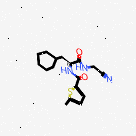 Cc1ccc(C(=O)N[C@@H](CC2CCCCC2)C(=O)NCC#N)s1